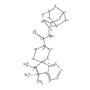 CN1C(C)(C)c2ccccc2C12CCN(C(=O)NC1C3CC4CC(C3)CC1C4)CC2